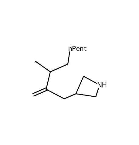 C=C(CC1CNC1)C(C)CCCCCC